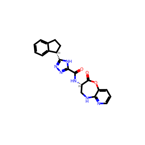 O=C(N[C@H]1CNc2ncccc2OC1=O)c1nnc([C@H]2CCc3ccccc32)[nH]1